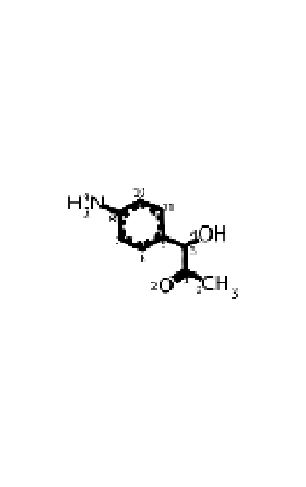 CC(=O)C(O)c1ccc(N)cc1